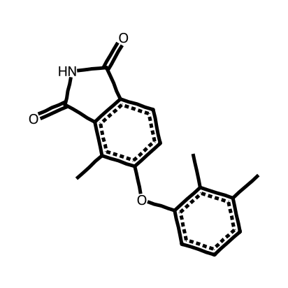 Cc1cccc(Oc2ccc3c(c2C)C(=O)NC3=O)c1C